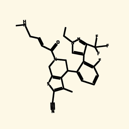 CCn1cc(-c2c(F)cccc2C2CN(C(=O)/C=C/CNC)Cc3sc(C#N)c(C)c32)c(C(F)(F)F)n1